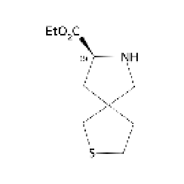 CCOC(=O)[C@@H]1CC2(CCSC2)CN1